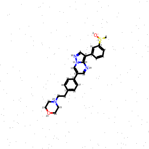 C[S+]([O-])c1cccc(-c2cnn3cc(-c4ccc(CCN5CCOCC5)cc4)cnc23)c1